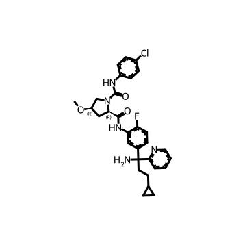 CO[C@@H]1C[C@H](C(=O)Nc2cc(C(N)(CCC3CC3)c3ccccn3)ccc2F)N(C(=O)Nc2ccc(Cl)cc2)C1